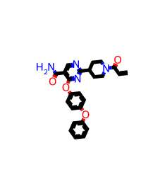 C=CC(=O)N1CCC(c2ncc(C(N)=O)c(Oc3ccc(Oc4ccccc4)cc3)n2)CC1